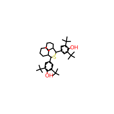 CC(C)(C)c1cc(C(SC(c2cc(C(C)(C)C)c(O)c(C(C)(C)C)c2)C2CCCCC2)C2CCCCC2)cc(C(C)(C)C)c1O